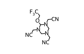 N#CCN1CN(CC#N)C(OCC(F)(F)F)N(CC#N)C1